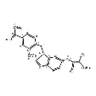 CCCCC(CC)C(=O)Nc1ccc2ccn(Cc3ccc(C(=O)OC)cc3OC)c2c1